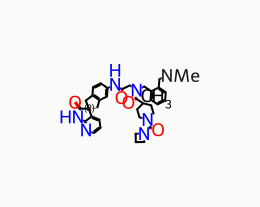 CNCc1ccccc1CN(CC(=O)Nc1ccc2c(c1)C[C@@]1(C2)C(=O)Nc2ncccc21)C(=O)C1(C)CCN(C(=O)N2CCC2)CC1